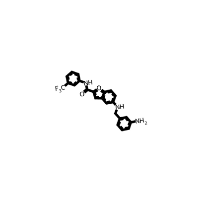 Nc1cccc(CNc2ccc3oc(C(=O)Nc4cccc(C(F)(F)F)c4)cc3c2)c1